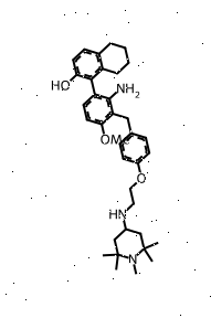 COc1ccc(-c2c(O)ccc3c2CCCC3)c(N)c1Cc1ccc(OCCNC2CC(C)(C)N(C)C(C)(C)C2)cc1